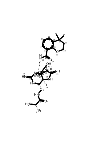 CC(C)[C@H](N)C(=O)NC[C@@H]1NC(=N)N2C[C@H](NC(=O)c3cccc4c3OCCC4(C)C)C(O)(O)[C@@]23NC(=N)N[C@@H]13